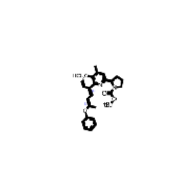 C=C/C(=C\C=C(/C)Oc1ccccc1)c1nc(C2CCCN2C(=O)OC(C)(C)C)cc(C)c1C(=O)O